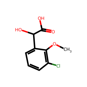 COc1c(Cl)cccc1C(O)C(=O)O